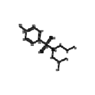 CCCN(CC(C)C)S(=O)(=O)c1ccc(C)cc1